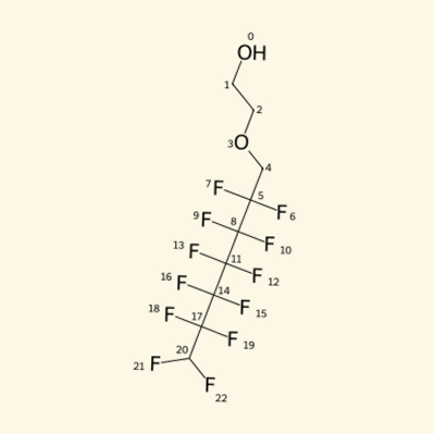 OCCOCC(F)(F)C(F)(F)C(F)(F)C(F)(F)C(F)(F)C(F)F